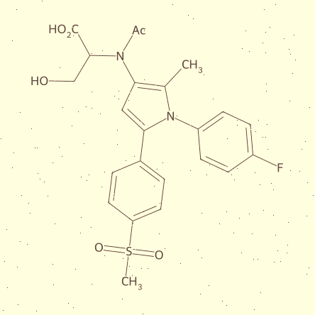 CC(=O)N(c1cc(-c2ccc(S(C)(=O)=O)cc2)n(-c2ccc(F)cc2)c1C)C(CO)C(=O)O